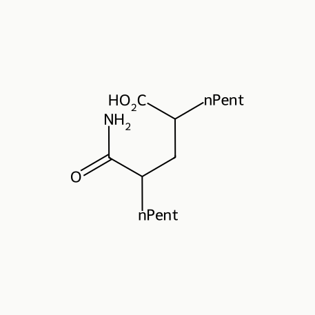 CCCCCC(CC(CCCCC)C(=O)O)C(N)=O